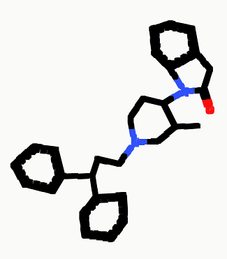 CC1CN(CCC(c2ccccc2)c2ccccc2)CCC1N1C(=O)Cc2ccccc21